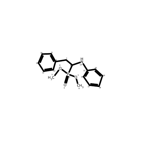 COP(=O)(OC)C(Cc1ccccc1)Nc1ccccc1